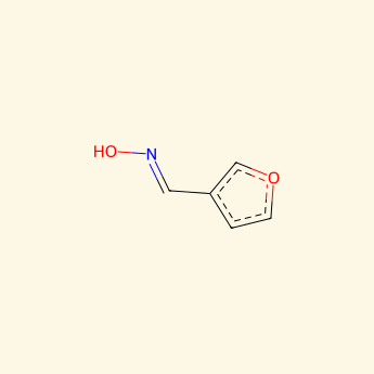 ON=Cc1ccoc1